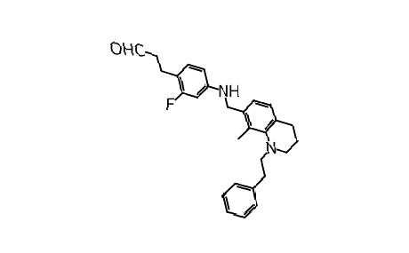 Cc1c(CNc2ccc(CCC=O)c(F)c2)ccc2c1N(CCc1ccccc1)CCC2